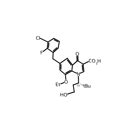 CCOc1cc(Cc2cccc(Cl)c2F)cc2c(=O)c(C(=O)O)cn([C@@H](CCO)C(C)(C)C)c12